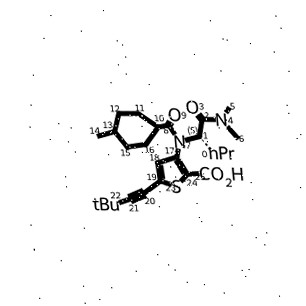 CCC[C@@H](C(=O)N(C)C)N(C(=O)C1CCC(C)CC1)c1cc(C#CC(C)(C)C)sc1C(=O)O